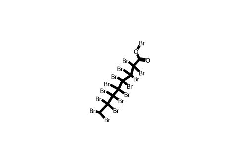 O=C(OBr)C(Br)(Br)C(Br)(Br)C(Br)(Br)C(Br)(Br)C(Br)(Br)C(Br)(Br)C(Br)Br